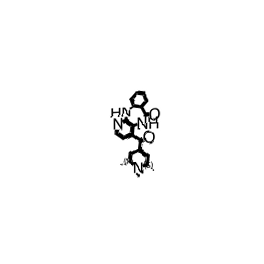 C[C@@H]1CC(C(=O)c2ccnc3c2NC(=O)c2ccccc2N3)=C[C@H](C)N1C